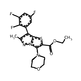 CCOC(=O)c1sc2c(-c3cc(F)cc(F)c3F)c(C)nn2c1N1CCOCC1